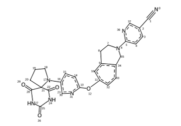 N#Cc1ccc(N2CCc3cc(Oc4ccc(N5CCCC56C(=O)NC(=O)NC6=O)cn4)ccc3C2)nc1